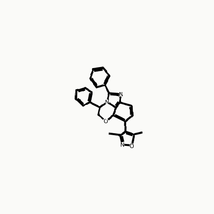 Cc1noc(C)c1-c1ccc2nc(-c3ccccc3)n3c2c1OCC3c1ccccc1